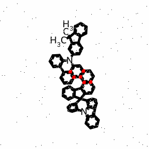 CC1(C)c2ccccc2-c2ccc(N(c3ccc(-c4cccc5c4-c4ccccc4C54c5ccccc5-n5c6ccccc6c6cccc4c65)cc3)c3ccccc3-c3cccc(-c4ccccc4)c3)cc21